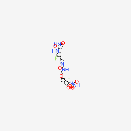 O=C(CN1CCC(c2ccc(NC3CCC(=O)NC3=O)cc2F)CC1)NCCOc1ccc2cc(O)c(N3CC(=O)NS3(=O)=O)c(F)c2c1